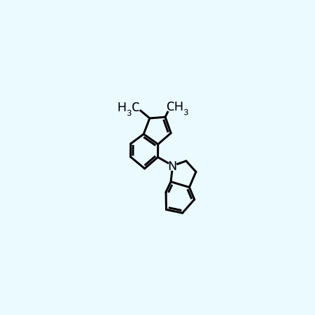 CC1=Cc2c(cccc2N2CCc3ccccc32)C1C